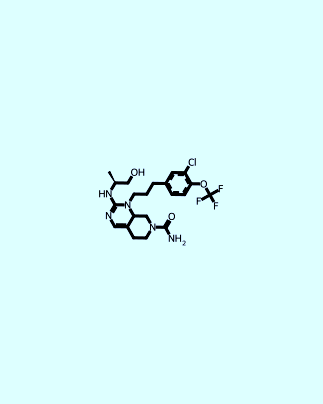 C[C@@H](CO)NC1=NC=C2CCN(C(N)=O)CC2N1CCCc1ccc(OC(F)(F)F)c(Cl)c1